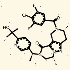 C[C@@H]1Cc2nn3c(c2CN1C(=O)c1cc(F)c(Cl)c(F)c1)C(=O)N([C@@H](C)c1ccc(C(C)(C)O)nc1)C[C@H]3C